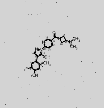 Cc1cc(C#N)c(F)cc1-c1cnn(-c2ccc(C(=O)N3CC(N(C)C)C3)cn2)c1O